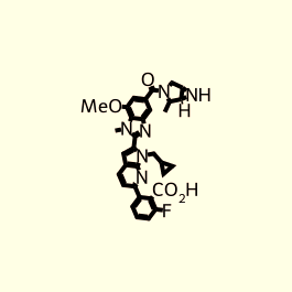 COc1cc(C(=O)N2CC3N[C@H]3C2C)cc2nc(-c3cc4ccc(-c5cccc(F)c5C(=O)O)nc4n3CC3CC3)n(C)c12